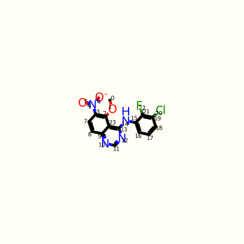 COc1c([N+](=O)[O-])ccc2ncnc(Nc3cccc(Cl)c3F)c12